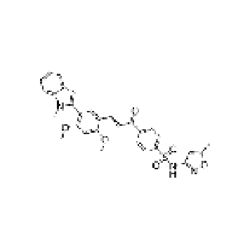 COc1cc(OC)c(-c2cc3ccccc3n2C)cc1/C=C/C(=O)c1ccc(S(=O)(=O)Nc2cc(C)on2)cc1